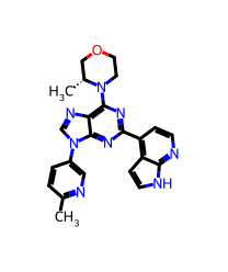 Cc1ccc(-n2cnc3c(N4CCOC[C@H]4C)nc(-c4ccnc5[nH]ccc45)nc32)cn1